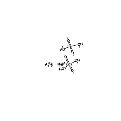 O=S(=O)(O)O.O=S(=O)(O)O.[BaH2].[MgH2]